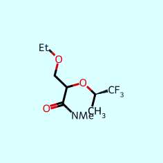 CCOCC(O[C@H](C)C(F)(F)F)C(=O)NC